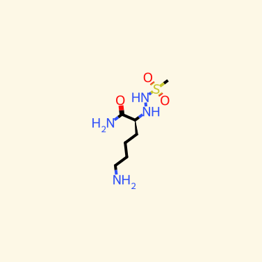 CS(=O)(=O)NN[C@@H](CCCCN)C(N)=O